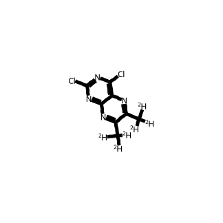 [2H]C([2H])([2H])c1nc2nc(Cl)nc(Cl)c2nc1C([2H])([2H])[2H]